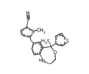 Cn1c(C#N)ccc1-c1ccc2c(c1)C(C)(c1ccsc1)OCCN2